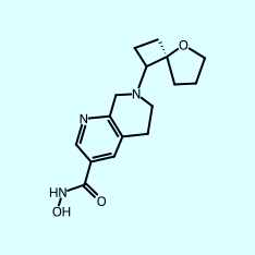 O=C(NO)c1cnc2c(c1)CCN(C1CC[C@]13CCCO3)C2